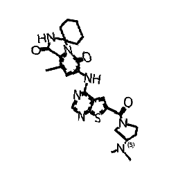 Cc1cc(Nc2ncnc3sc(C(=O)N4CC[C@H](N(C)C)C4)cc23)c(=O)n2c1C(=O)NC21CCCCC1